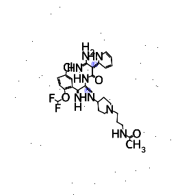 CC(=O)NCCCN1CCC(N/C=C(/NC(=O)/C(C(=N)N)=C2\C=CC=CN2)C(=N)c2cc(Cl)ccc2OC(F)F)CC1